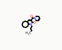 CCCCn1c2c(cc(C(=O)N3CC=CCC3)c1=O)CCCCCC2